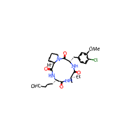 CC[C@]1(C)NC(=O)[C@H](CCCC=O)NC(=O)[C@H]2CCCN2C(=O)[C@H](Cc2ccc(Cl)c(OC)c2)NC1=O